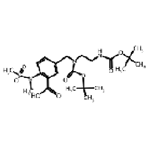 CN(c1ccc(CN(CCNC(=O)OC(C)(C)C)C(=O)OC(C)(C)C)cc1C(=O)O)S(C)(=O)=O